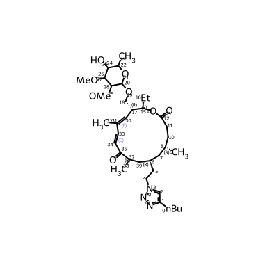 CCCCc1cn(CC[C@@H]2C[C@@H](C)CCC(=O)O[C@H](CC)[C@@H](COC3OC(C)C(O)C(OC)C3OC)/C=C(C)/C=C/C(=O)[C@H](C)C2)nn1